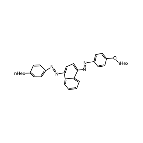 CCCCCCOc1ccc(N=Nc2ccc(N=Nc3ccc(CCCCCC)cc3)c3ccccc23)cc1